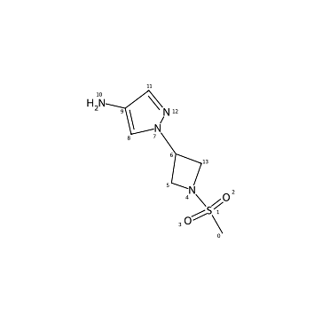 CS(=O)(=O)N1CC(n2cc(N)cn2)C1